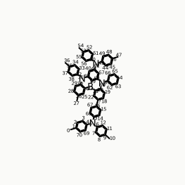 Cc1ccc(N(c2ccc(C)cc2)c2ccc(-c3ccc4c(c3)B3c5cc(C)ccc5N(c5ccc(C)cc5)c5cc(N(c6ccc(C)cc6)c6ccc(C)cc6)cc(c53)N4c3ccccc3)cc2)cc1